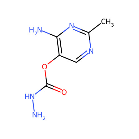 Cc1ncc(OC(=O)NN)c(N)n1